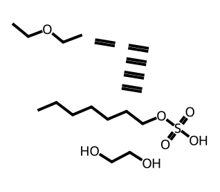 C=C.C=C.C=C.C=C.C=C.CCCCCCCOS(=O)(=O)O.CCOCC.OCCO